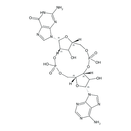 Nc1nc2c(ncn2[C@@H]2O[C@@H]3COP(=O)(O)O[C@@H]4C(O)[C@H](n5cnc6c(N)ncnc65)O[C@@H]4COP(=O)(O)O[C@H]2C3O)c(=O)[nH]1